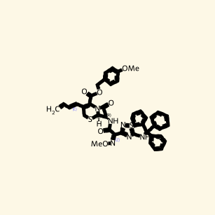 C=C/C=C/C1=C(C(=O)OCc2ccc(OC)cc2)N2C(=O)[C@@H](NC(=O)/C(=N\OC)c3nsc(NC(c4ccccc4)(c4ccccc4)c4ccccc4)n3)[C@H]2SC1